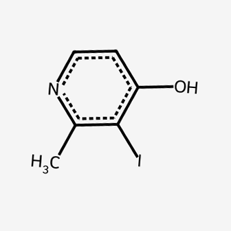 Cc1nccc(O)c1I